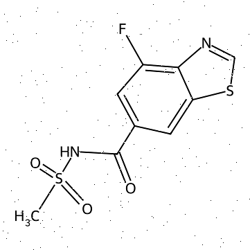 CS(=O)(=O)NC(=O)c1cc(F)c2ncsc2c1